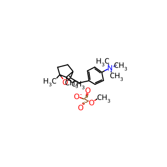 CC12CCC(=C(Cc3ccc([N+](C)(C)C)cc3)O1)C2(C)C.COS(=O)(=O)[O-]